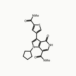 CNC(=O)c1cc(-c2cn(C3CCCC3)c3c(C(=O)NC)c[nH]c(=O)c23)cs1